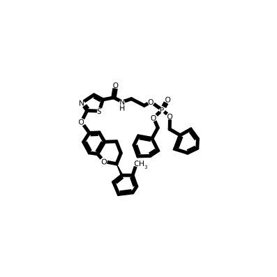 Cc1ccccc1[C@@H]1CCc2cc(Oc3ncc(C(=O)NCCOP(=O)(OCc4ccccc4)OCc4ccccc4)s3)ccc2O1